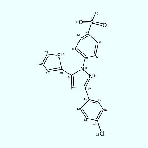 CS(=O)(=O)c1ccc(-n2nc(-c3ccc(Cl)cc3)cc2-c2cccs2)cc1